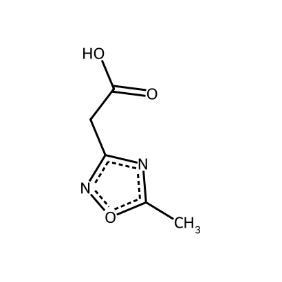 Cc1nc(CC(=O)O)no1